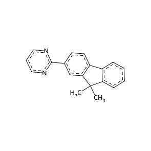 CC1(C)c2ccccc2-c2ccc(-c3ncccn3)cc21